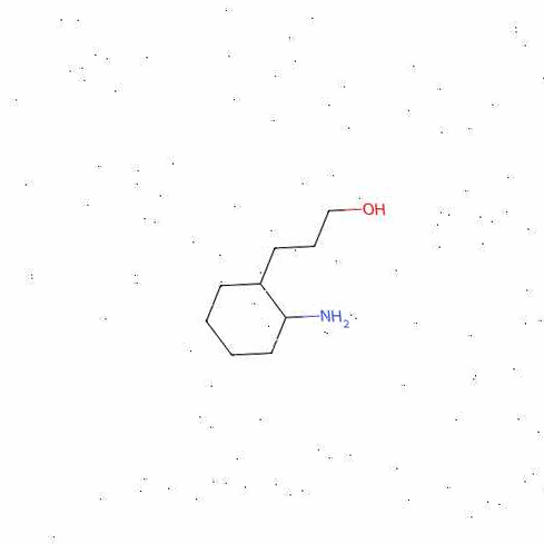 NC1CCCCC1CCCO